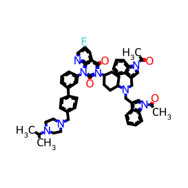 CC(=O)n1cc(CN(Cc2cn(C(C)=O)c3ccccc23)C2CCC(n3c(=O)c4cc(F)cnc4n(-c4cccc(-c5ccc(CN6CCN(C(C)C)CC6)cc5)c4)c3=O)CC2)c2ccccc21